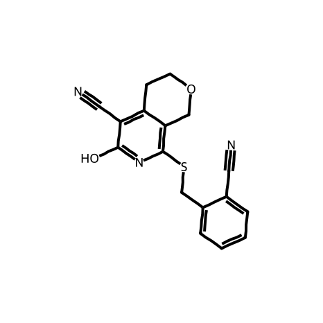 N#Cc1ccccc1CSc1nc(O)c(C#N)c2c1COCC2